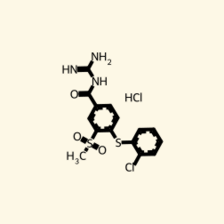 CS(=O)(=O)c1cc(C(=O)NC(=N)N)ccc1Sc1ccccc1Cl.Cl